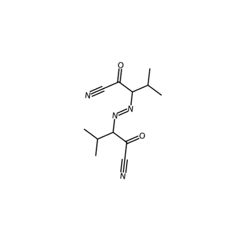 CC(C)C(N=NC(C(=O)C#N)C(C)C)C(=O)C#N